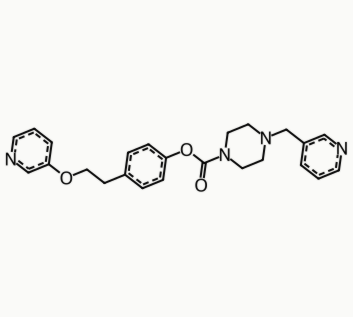 O=C(Oc1ccc(CCOc2cccnc2)cc1)N1CCN(Cc2cccnc2)CC1